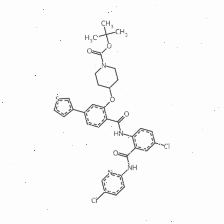 CC(C)(C)OC(=O)N1CCC(Oc2cc(-c3ccsc3)ccc2C(=O)Nc2ccc(Cl)cc2C(=O)Nc2ccc(Cl)cn2)CC1